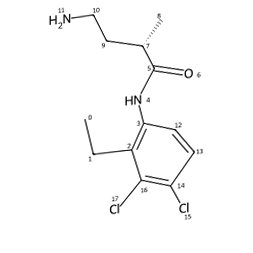 CCc1c(NC(=O)[C@@H](C)CCN)ccc(Cl)c1Cl